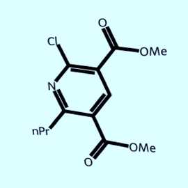 CCCc1nc(Cl)c(C(=O)OC)cc1C(=O)OC